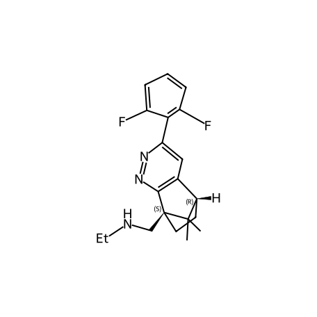 CCNC[C@@]12CC[C@@H](c3cc(-c4c(F)cccc4F)nnc31)C2(C)C